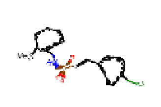 COc1ccccc1NS(=O)(=O)C=Cc1ccc(Cl)cc1